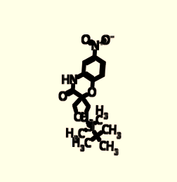 CCC1(CO[Si](C)(C)C(C)(C)C)Oc2ccc([N+](=O)[O-])cc2NC1=O